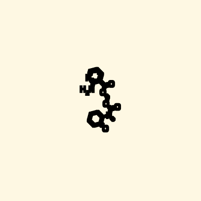 CN(C(=O)OCOC(=O)c1cccnc1N)[C@@H]1CCCCC1=O